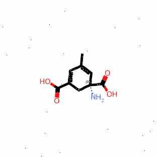 CC1=C[C@@](N)(C(=O)O)CC(C(=O)O)=C1